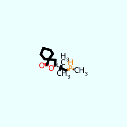 CPCC(C)(C)[C@H]1CC2(CCCCC2)C(=O)O1